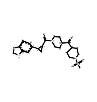 CS(=O)(=O)N1CCC(C(=O)N2CCN(C(=O)C3CC3c3ccc4c(c3)OCO4)CC2)CC1